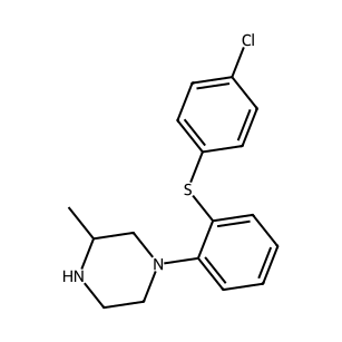 CC1CN(c2ccccc2Sc2ccc(Cl)cc2)CCN1